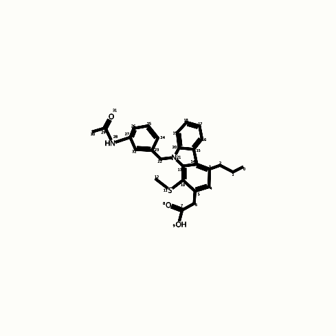 CCCc1cc(CC(=O)O)c(SC)c2c1c1ccccc1n2Cc1cccc(NC(C)=O)c1